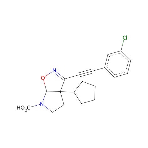 O=C(O)N1CCC2(C3CCCC3)C(C#Cc3cccc(Cl)c3)=NOC12